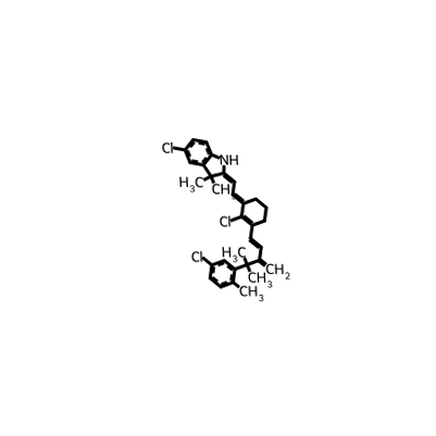 C=C(/C=C/C1=C(Cl)C(=C/C=C2/Nc3ccc(Cl)cc3C2(C)C)/CCC1)C(C)(C)c1cc(Cl)ccc1C